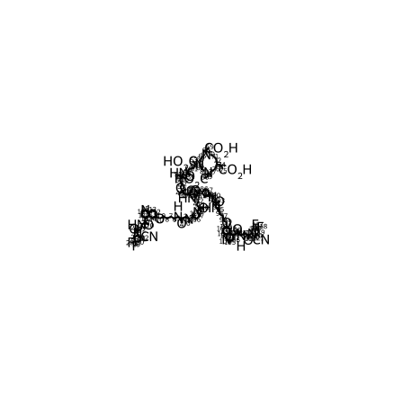 CN(CC(=O)NCCCCOc1ccc2nccc(C(=O)NCC(=O)N3CC(F)(F)C[C@H]3C#N)c2c1)[C@@H]1CCN(C(=O)CC[C@H](NC(=O)CC(C)(C)OCCC(C)(C)NC(=O)CCC(C(=O)O)N2CCN(CC(=O)O)CCCC(CC(=O)O)CCN(CC(=O)O)CC2)C(=O)N2CC[C@@H](N(C)CC(=O)NCCCCOc3ccc4nccc(C(=O)NCC(=O)N5CC(F)(F)C[C@H]5C#N)c4c3)C2)C1